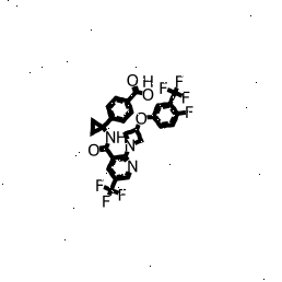 O=C(O)c1ccc(C2(NC(=O)c3cc(C(F)(F)F)cnc3N3CC(Oc4ccc(F)c(C(F)(F)F)c4)C3)CC2)cc1